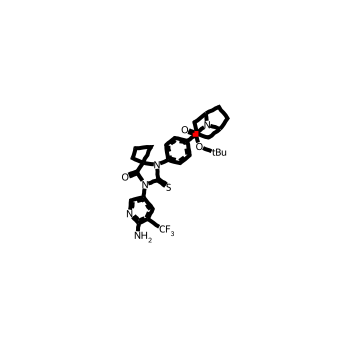 CC(C)(C)OC(=O)N1C2CCC1CC(c1ccc(N3C(=S)N(c4cnc(N)c(C(F)(F)F)c4)C(=O)C34CCC4)cc1)C2